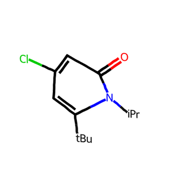 CC(C)n1c(C(C)(C)C)cc(Cl)cc1=O